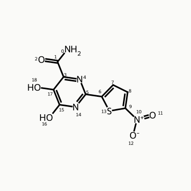 NC(=O)c1nc(-c2ccc([N+](=O)[O-])s2)nc(O)c1O